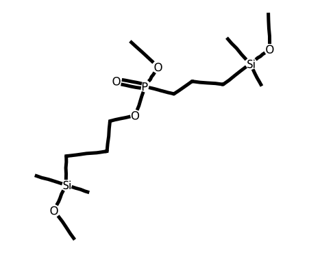 CO[Si](C)(C)CCCOP(=O)(CCC[Si](C)(C)OC)OC